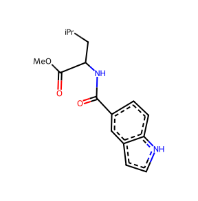 COC(=O)C(CC(C)C)NC(=O)c1ccc2[nH]ccc2c1